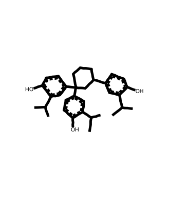 CC(C)c1cc(C2CCCC(c3ccc(O)c(C(C)C)c3)(c3ccc(O)c(C(C)C)c3)C2)ccc1O